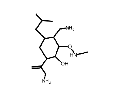 C=C(CN)C1CC(CC(C)C)C(CN)C(ONC)C1O